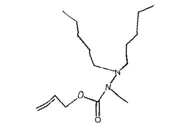 C=CCOC(=O)N(C)N(CCCCC)CCCCC